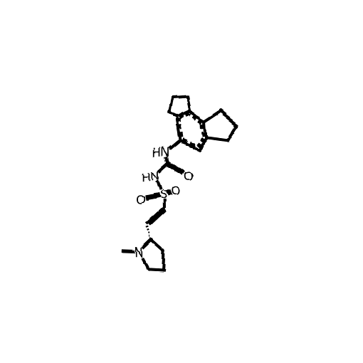 CN1CCC[C@H]1/C=C/S(=O)(=O)NC(=O)Nc1cc2c(c3c1CCC3)CCC2